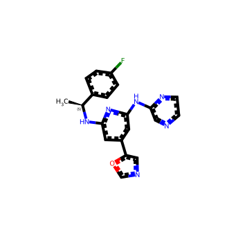 C[C@H](Nc1cc(-c2cnco2)cc(Nc2cnccn2)n1)c1ccc(F)cc1